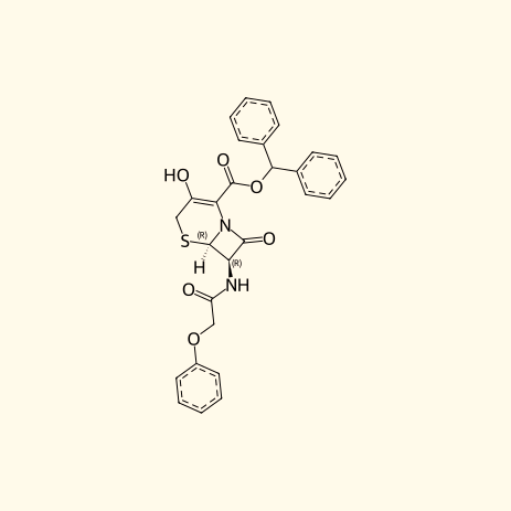 O=C(COc1ccccc1)N[C@@H]1C(=O)N2C(C(=O)OC(c3ccccc3)c3ccccc3)=C(O)CS[C@H]12